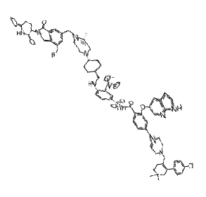 C[C@@H]1CN([C@H]2CC[C@H](CNc3ccc(S(=O)(=O)NC(=O)c4ccc(N5CCN(CC6=C(c7ccc(Cl)cc7)CC(C)(C)CC6)CC5)cc4Oc4cnc5[nH]ccc5c4)cc3[N+](=O)[O-])CC2)CCN1Cc1cc(Br)c2c(c1)C(=O)N(C1CCC(=O)NC1=O)C2